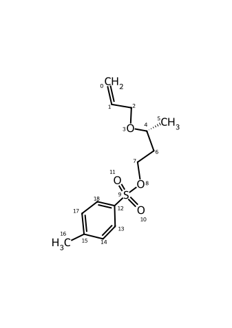 C=CCO[C@H](C)CCOS(=O)(=O)c1ccc(C)cc1